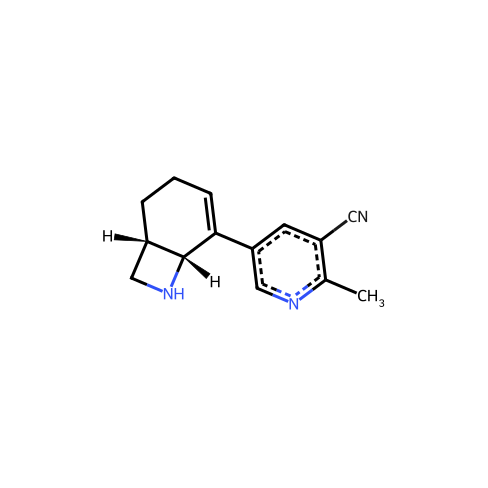 Cc1ncc(C2=CCC[C@H]3CN[C@@H]23)cc1C#N